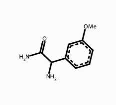 COc1cccc(C(N)C(N)=O)c1